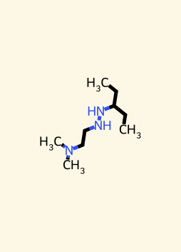 CCC(CC)NNCCN(C)C